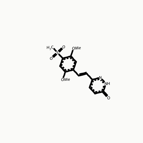 COc1cc(S(C)(=O)=O)c(OC)cc1/C=C/c1ccc(=O)[nH]n1